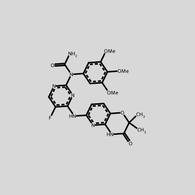 COc1cc(N(C(N)=O)c2ncc(F)c(Nc3ccc4c(n3)NC(=O)C(C)(C)O4)n2)cc(OC)c1OC